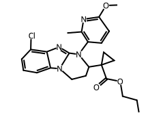 CCCOC(=O)C1(C2CCn3c(nc4c(Cl)cccc43)N2c2ccc(OC)nc2C)CC1